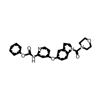 O=C(Nc1cc(Oc2ccc3c(ccn3C(=O)N3CCOCC3)c2)ccn1)Oc1ccccc1